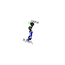 COc1ccc(CC2CCCc3c2sc2nc(CN4CCC(N(C)C)CC4)n[c]c32)cc1Cl